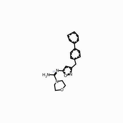 N/C(=N/c1cc(Cc2ccc(-c3ccccc3)cc2)no1)N1CCOCC1